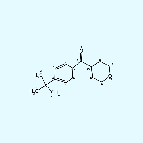 CC(C)(C)c1ccc(C(=O)C2CCOCC2)cc1